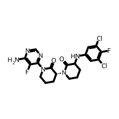 Nc1ncnc(N2CCC[C@@H](N3CCCC(Nc4cc(Cl)c(F)c(Cl)c4)C3=O)C2=O)c1F